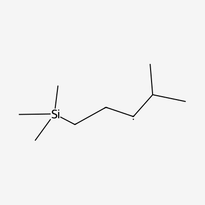 CC(C)[CH]CC[Si](C)(C)C